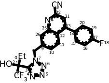 CCC(O)(c1nnnn1Cc1ccc2c(-c3ccc(F)cc3)cc(C#N)nc2c1)C(F)(F)F